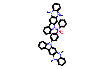 CN1c2ccccc2N(C)c2cc3c(cc21)c1ccccc1n3-c1ccc(P(=O)(c2ccccc2)n2c3ccccc3c3cc4c(cc32)N(C)c2ccccc2N4C)cc1